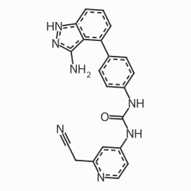 N#CCc1cc(NC(=O)Nc2ccc(-c3cccc4[nH]nc(N)c34)cc2)ccn1